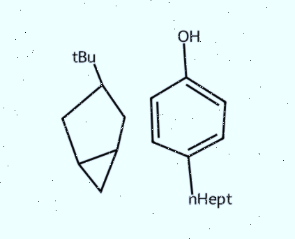 CC(C)(C)C1CC2CC2C1.CCCCCCCc1ccc(O)cc1